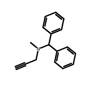 C#CCN(C)[C](c1ccccc1)c1ccccc1